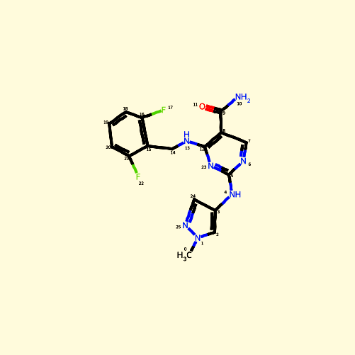 Cn1cc(Nc2ncc(C(N)=O)c(NCc3c(F)cccc3F)n2)cn1